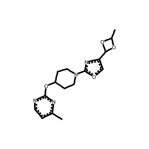 Cc1ccnc(OC2CCN(c3nc(C4OC(C)O4)co3)CC2)n1